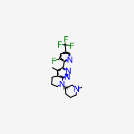 Cc1c(-c2ncc(C(F)(F)F)cc2F)nnc2c1CCCN2[C@@H]1CCCN(C)C1